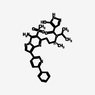 CC(C)N(C(=O)c1cn[nH]c1O)[C@H](C)CCc1nc2c(-c3ccc(-c4ccccc4)nc3)cnn2c(N)c1S(C)(=O)=O